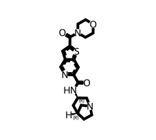 O=C(N[C@@H]1C[C@H]2CCN(C2)C1)c1cc2sc(C(=O)N3CCOCC3)cc2cn1